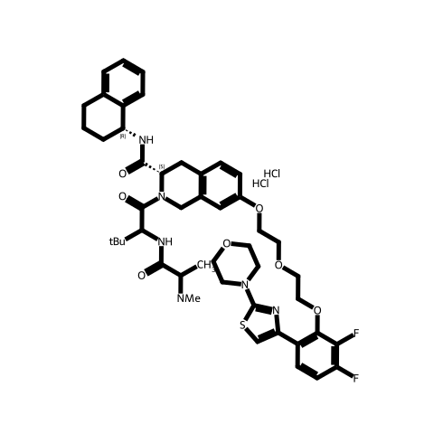 CNC(C)C(=O)NC(C(=O)N1Cc2cc(OCCOCCOc3c(-c4csc(N5CCOCC5)n4)ccc(F)c3F)ccc2C[C@H]1C(=O)N[C@@H]1CCCc2ccccc21)C(C)(C)C.Cl.Cl